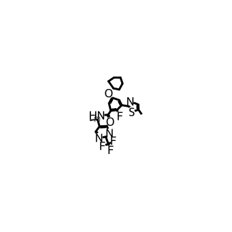 Cc1cnc(-c2cc(OC3CCCCC3)cc(C(=O)N[C@H](C)c3cnc(C(F)(F)F)nc3)c2F)s1